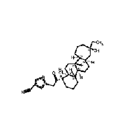 CC[C@@]1(O)CCC[C@H]2[C@H](CC[C@@H]3[C@@H]2CC[C@]2(C)[C@@H](C(=O)Cn4cc(C#N)cn4)CCC[C@@H]32)C1